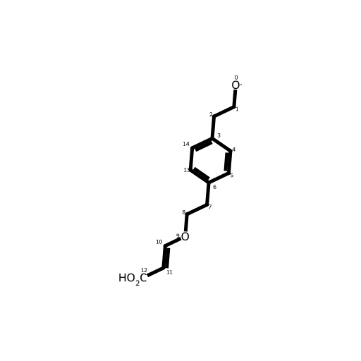 [O]CCc1ccc(CCOC=CC(=O)O)cc1